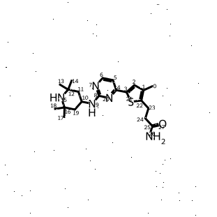 Cc1cc(-c2ccnc(NC3CC(C)(C)NC(C)(C)C3)n2)sc1CCC(N)=O